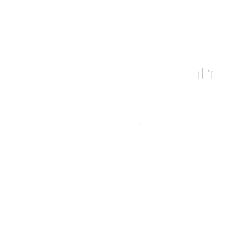 [CH2]C=CC(C)(C)CC(C)C